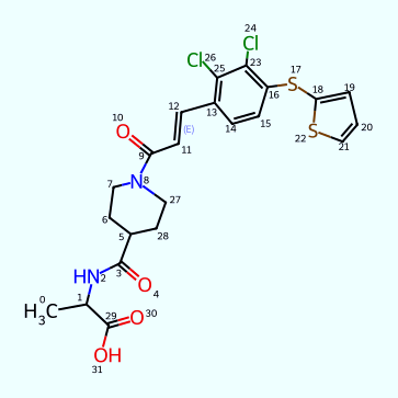 CC(NC(=O)C1CCN(C(=O)/C=C/c2ccc(Sc3cccs3)c(Cl)c2Cl)CC1)C(=O)O